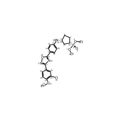 CCOP(=O)(OCC)[C@H]1CC[C@@H](Nc2ccc(-c3nc(-c4ccc(OC(C)C)c(Cl)c4)no3)cc2)C1